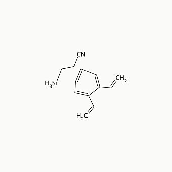 C=Cc1ccccc1C=C.N#CCC[SiH3]